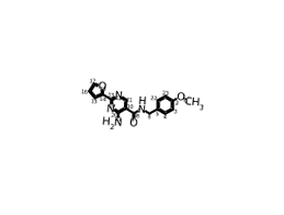 COc1ccc(CNC(=O)c2cnc(-c3ccco3)nc2N)cc1